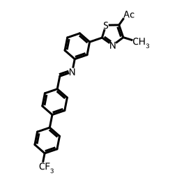 CC(=O)c1sc(-c2cccc(N=Cc3ccc(-c4ccc(C(F)(F)F)cc4)cc3)c2)nc1C